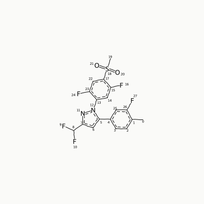 Cc1ccc(-c2cc(C(F)F)nn2-c2cc(F)c(S(C)(=O)=O)cc2F)cc1F